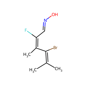 CC(C)=C(Br)/C(C)=C(F)\C=N\O